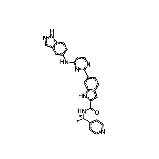 C[C@@H](NC(=O)c1cc2ccc(-c3nccc(Nc4ccc5[nH]ncc5c4)n3)cc2[nH]1)c1ccncc1